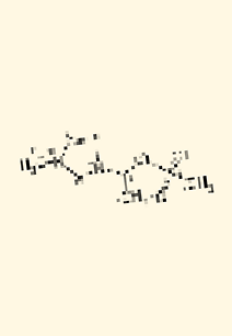 CC(OS(C)(=O)=O)N1C=CN(C)C1